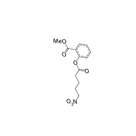 COC(=O)c1ccccc1OC(=O)CCCC[N+](=O)[O-]